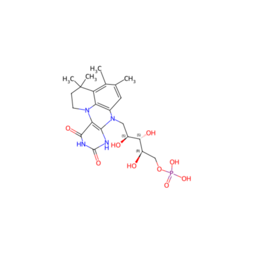 Cc1cc2c3c(c1C)C(C)(C)CCN3c1c([nH]c(=O)[nH]c1=O)N2C[C@H](O)[C@H](O)[C@H](O)COP(=O)(O)O